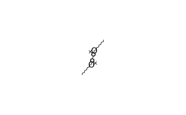 CCCCCCCCOc1ccc(-c2ccc(OCCCCCCCC)c(C(C)(C)C)c2)cc1C(C)(C)C